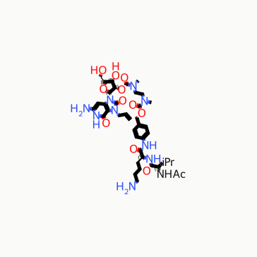 C=CCn1c(=O)n([C@@H]2O[C@H](CO)[C@@H](O)[C@H]2OC(=O)N(C)CCN(C)C(=O)OCc2ccc(NC(=O)[C@H](CCCCN)NC(=O)[C@@H](NC(C)=O)C(C)C)cc2)c2cc(N)[nH]c(=O)c21